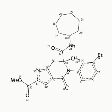 CCc1cccc(N2C(=O)c3cc(C(=O)OC)nn3CC2(C)C(=O)NC2CCCCCC2)c1